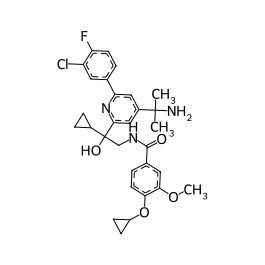 COc1cc(C(=O)NCC(O)(c2cc(C(C)(C)N)cc(-c3ccc(F)c(Cl)c3)n2)C2CC2)ccc1OC1CC1